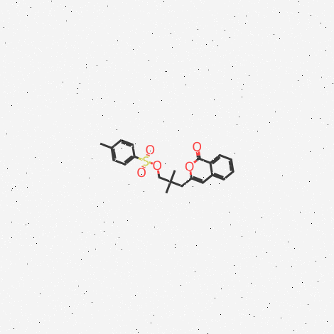 Cc1ccc(S(=O)(=O)OCC(C)(C)Cc2cc3ccccc3c(=O)o2)cc1